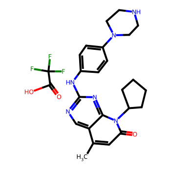 Cc1cc(=O)n(C2CCCC2)c2nc(Nc3ccc(N4CCNCC4)cc3)ncc12.O=C(O)C(F)(F)F